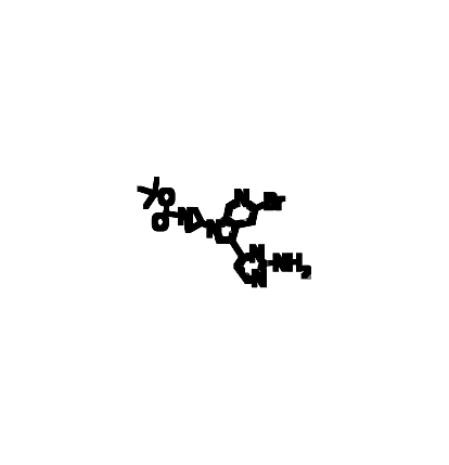 CC(C)(C)OC(=O)N1CC(n2cc(-c3ccnc(N)n3)c3cc(Br)ncc32)C1